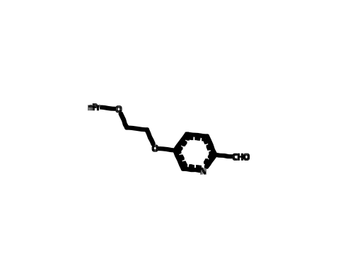 CCCOCCOc1ccc(C=O)nc1